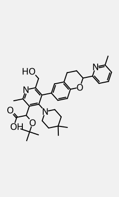 Cc1cccc(C2CCc3cc(-c4c(CO)nc(C)c(C(OC(C)(C)C)C(=O)O)c4N4CCC(C)(C)CC4)ccc3O2)n1